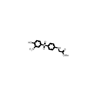 COC(=O)CNc1ccc(S(=O)(=O)c2ccc(O)c([N+](=O)[O-])c2)cc1